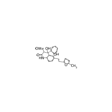 COC1C(=O)Nc2ccc(/C=C/c3ccc(C)o3)c(O)c2C1(O)c1ccccc1